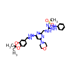 CC1(C)Oc2ccc(C=NNc3cc(N4CCOCC4)nc(CNC(=NS(C)(=O)=O)NNc4ccccc4)n3)cc2O1